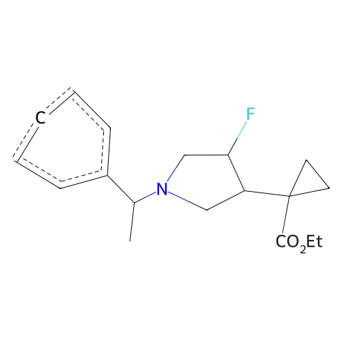 CCOC(=O)C1(C2CN(C(C)c3ccccc3)CC2F)CC1